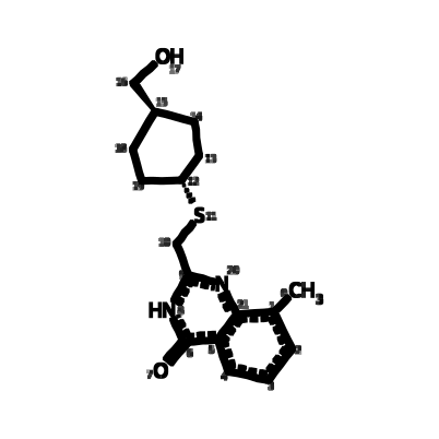 Cc1cccc2c(=O)[nH]c(CS[C@H]3CC[C@H](CO)CC3)nc12